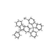 Brc1ccc2c(c1)C(c1ccccc1)(c1ccc3c(c1)c1ccccc1n3-c1ccccc1)c1ccccc1-2